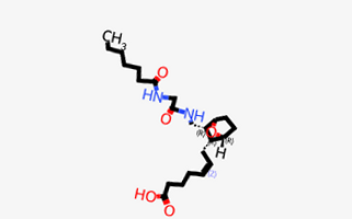 CCCCCCC(=O)NCC(=O)NC[C@@H]1C2CC[C@@H](O2)[C@@H]1C/C=C\CCCC(=O)O